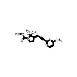 Cc1ccnc(C#C/C=C2\CCN(C(=O)OC(C)(C)C)C2(C)C)n1